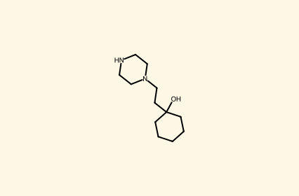 OC1(CCN2CCNCC2)CCCCC1